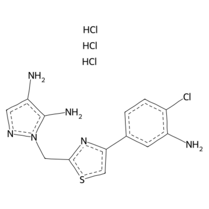 Cl.Cl.Cl.Nc1cc(-c2csc(Cn3ncc(N)c3N)n2)ccc1Cl